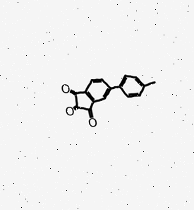 Cc1ccc(-c2ccc3c(=O)c(=O)c(=O)c3c2)cc1